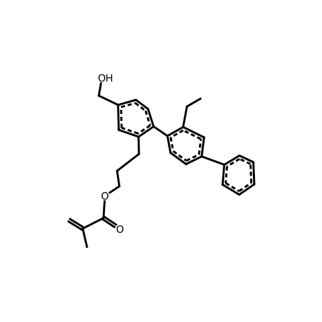 C=C(C)C(=O)OCCCc1cc(CO)ccc1-c1ccc(-c2ccccc2)cc1CC